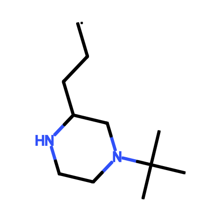 [CH2]CCC1CN(C(C)(C)C)CCN1